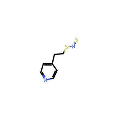 S=NSCCc1ccncc1